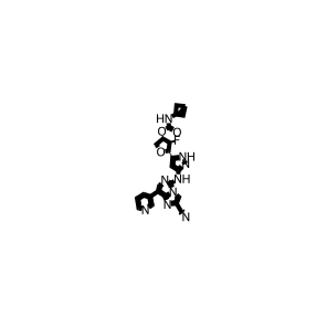 N#Cc1cn2c(Nc3cc([C@@H]4OC[C@H](OC(=O)NC56CC(C5)C6)[C@H]4F)[nH]n3)ncc(-c3cccnc3)c2n1